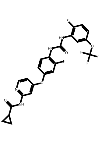 O=C(Nc1ccc(Oc2ccnc(NC(=O)C3CC3)c2)cc1F)Nc1cc(OC(F)(F)F)ccc1F